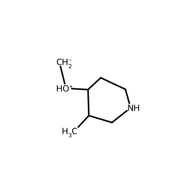 [CH2-][OH+]C1CCNCC1C